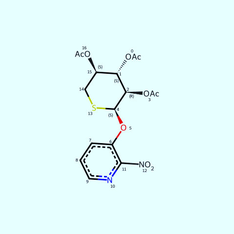 CC(=O)O[C@@H]1[C@@H](OC(C)=O)[C@@H](Oc2cccnc2[N+](=O)[O-])SC[C@H]1OC(C)=O